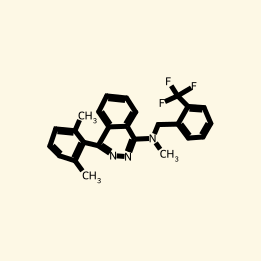 Cc1cccc(C)c1-c1nnc(N(C)Cc2ccccc2C(F)(F)F)c2ccccc12